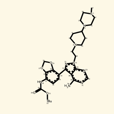 CN1CCN(C2CCN(CCn3nc(-c4ccc(NC(=O)OC(C)(C)C)c5c4OCO5)c4c(N)ncnc43)CC2)CC1